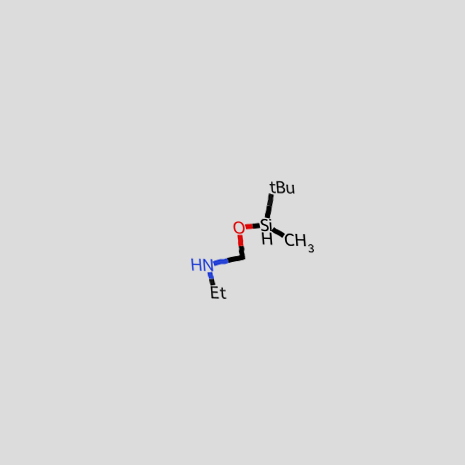 CCNCO[SiH](C)C(C)(C)C